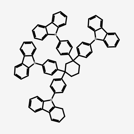 C1=Cc2c(n(-c3ccc(C4(c5ccc(-n6c7ccccc7c7ccccc76)cc5)CCCC(c5ccc(-n6c7ccccc7c7ccccc76)cc5)(c5ccc(-n6c7ccccc7c7ccccc76)cc5)C4)cc3)c3ccccc23)CC1